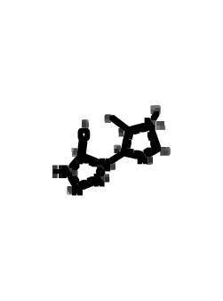 Cc1c(-n2nn[nH]c2=O)ncn1C